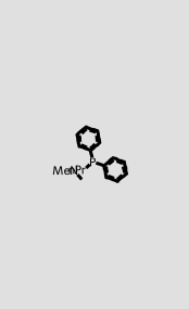 CCCP(c1ccccc1)c1ccccc1.CNC